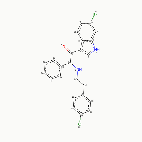 O=C(c1c[nH]c2cc(Br)ccc12)C(NCCc1ccc(Cl)cc1)c1ccccc1